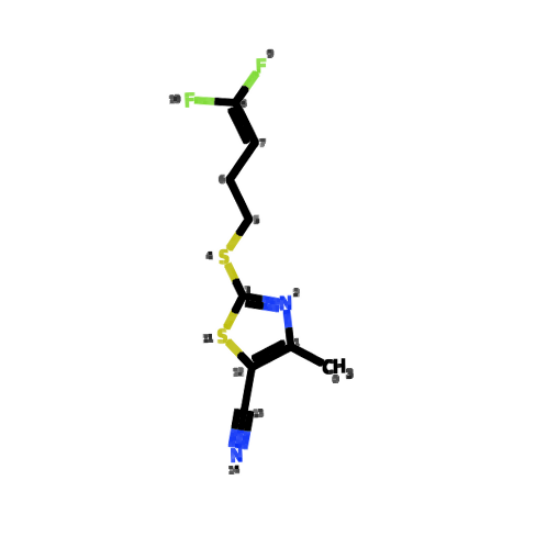 Cc1nc(SCCC=C(F)F)sc1C#N